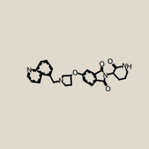 O=C1NCCCC1N1C(=O)c2ccc(O[C@@H]3CCN(Cc4cccc5ncccc45)C3)cc2C1=O